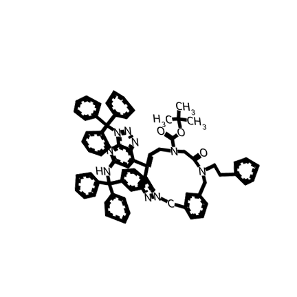 CC(C)(C)OC(=O)N1C/C=C(/c2cc(NC(c3ccccc3)(c3ccccc3)c3ccccc3)nc3c2nnn3C(c2ccccc2)(c2ccccc2)c2ccccc2)c2cnn(c2)Cc2cccc(c2)CN(CCc2ccccc2)C(=O)C1